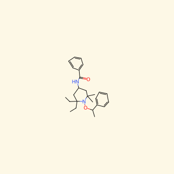 CCC1(CC)CC(NC(=O)c2ccccc2)CC(C)(C)N1OC(C)c1ccccc1